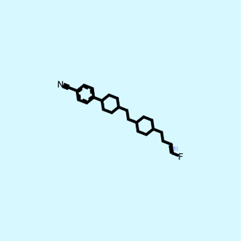 N#Cc1ccc(C2CCC(CCC3CCC(CC/C=C/F)CC3)CC2)cc1